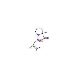 C=C(O)C1(C)CCCN1N(C)CC(C)=C(C)C